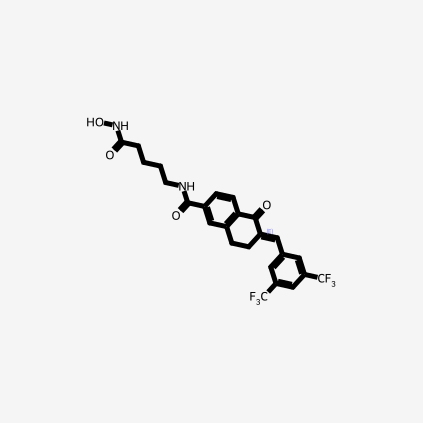 O=C(CCCCNC(=O)c1ccc2c(c1)CC/C(=C\c1cc(C(F)(F)F)cc(C(F)(F)F)c1)C2=O)NO